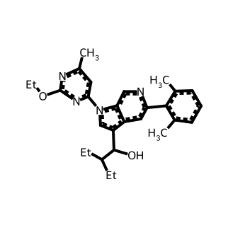 CCOc1nc(C)cc(-n2cc(C(O)C(CC)CC)c3cc(-c4c(C)cccc4C)ncc32)n1